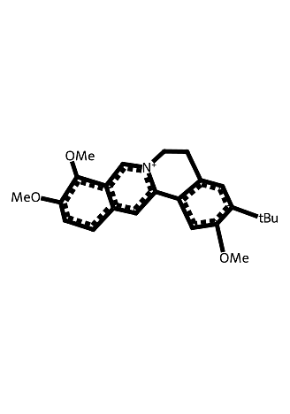 COc1cc2c(cc1C(C)(C)C)CC[n+]1cc3c(OC)c(OC)ccc3cc1-2